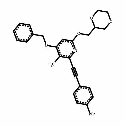 CCCc1ccc(C#Cc2nc(OCC3COCCO3)cc(OCc3ccccc3)c2C)cc1